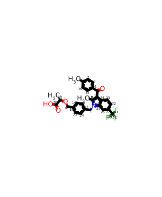 Cc1ccc(C(=O)c2c(C)n(Cc3ccc(CO[C@H](C)C(=O)O)cc3)c3cc(C(F)(F)F)ccc23)cc1